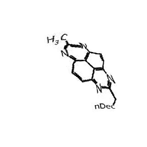 CCCCCCCCCCCc1nc2ccc3nc(C)nc4ccc(n1)c2c34